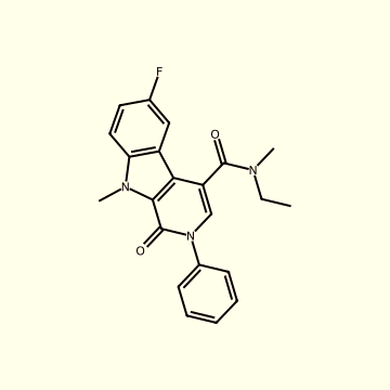 CCN(C)C(=O)c1cn(-c2ccccc2)c(=O)c2c1c1cc(F)ccc1n2C